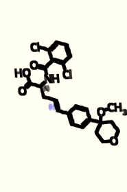 COC1(c2ccc(/C=C/C[C@H](NC(=O)c3c(Cl)cccc3Cl)C(=O)O)cc2)CCOCC1